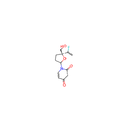 C=C(F)[C@@]1(CO)CCC(N2C=CC(=O)CC2=O)O1